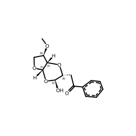 CO[C@@H]1CO[C@H]2O[C@H](O)[C@@H](CC(=O)c3ccccc3)O[C@H]21